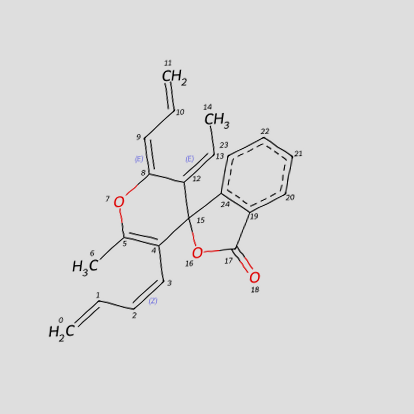 C=C/C=C\C1=C(C)OC(=C/C=C)/C(=C\C)C12OC(=O)c1ccccc12